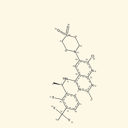 Cc1nc(N[C@H](C)c2cccc(C(C)(F)F)c2F)c2cc(N3CCS(=O)(=O)CC3)c(Cl)nc2n1